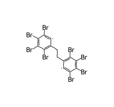 Brc1[c]c(CCc2[c]c(Br)c(Br)c(Br)c2Br)c(Br)c(Br)c1Br